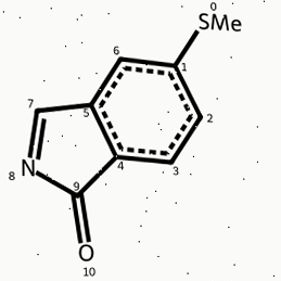 CSc1ccc2c(c1)C=NC2=O